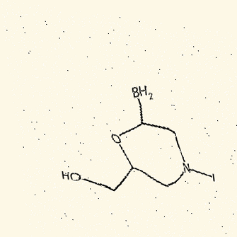 BC1CN(I)CC(CO)O1